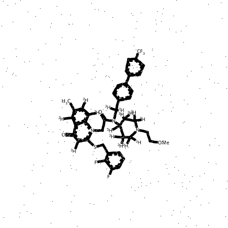 [2H]c1c(C)c([2H])c2c(=O)c([2H])c(SCc3cccc(F)c3F)n(CC(=O)N(C([2H])([2H])c3ccc(-c4ccc(C(F)(F)F)cc4)cc3)C3([2H])C([2H])([2H])C([2H])([2H])N(CCOC)C([2H])([2H])C3([2H])[2H])c2c1[2H]